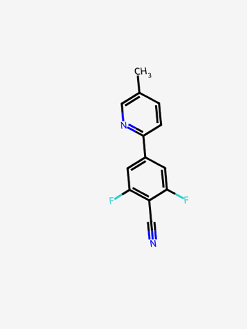 Cc1ccc(-c2cc(F)c(C#N)c(F)c2)nc1